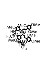 COc1cc(OC)c(C=CC(c2ccc(OC)c(NC(=O)C(F)(F)C(F)(F)F)c2)S(=O)(=O)C(C=Cc2c(OC)cc(OC)cc2OC)c2ccc(OC)c(NC(=O)C(F)(F)C(F)(F)F)c2)c(OC)c1